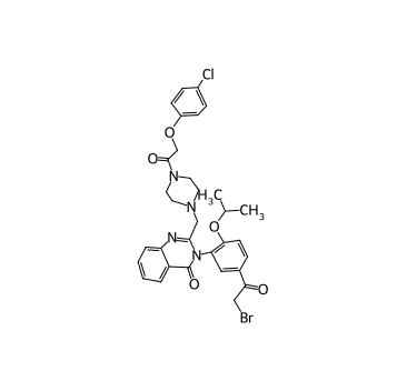 CC(C)Oc1ccc(C(=O)CBr)cc1-n1c(CN2CCN(C(=O)COc3ccc(Cl)cc3)CC2)nc2ccccc2c1=O